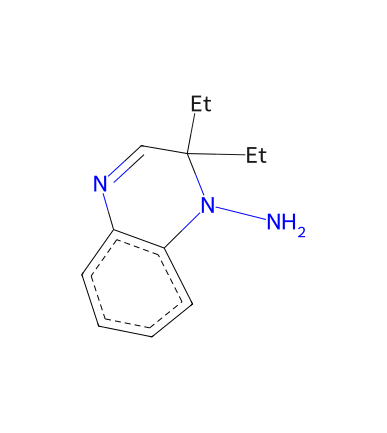 CCC1(CC)C=Nc2ccccc2N1N